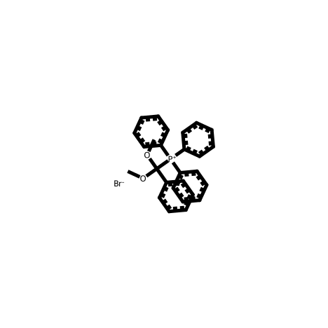 COC(OC)(c1ccccc1)[P+](c1ccccc1)(c1ccccc1)c1ccccc1.[Br-]